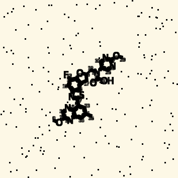 COc1cnc2c(-c3nc4cc(F)c5c(c4s3)C[C@H](CN(C(=O)O)c3cnc(OC)nc3)O5)cc(C)cc2n1